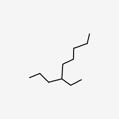 CC[CH]C(CC)CCCCC